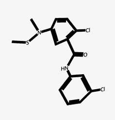 CSN(C)c1ccc(Cl)c(C(=O)Nc2cccc(Cl)c2)c1